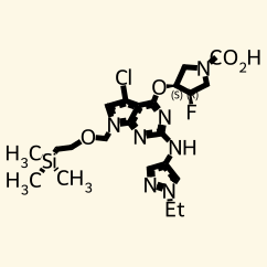 CCn1cc(Nc2nc(O[C@H]3CN(C(=O)O)C[C@H]3F)c3c(Cl)cn(COCC[Si](C)(C)C)c3n2)cn1